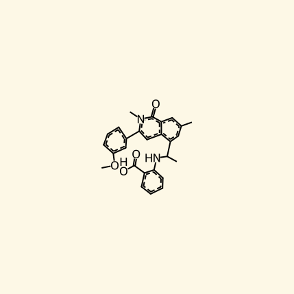 COc1cccc(-c2cc3c(C(C)Nc4ccccc4C(=O)O)cc(C)cc3c(=O)n2C)c1